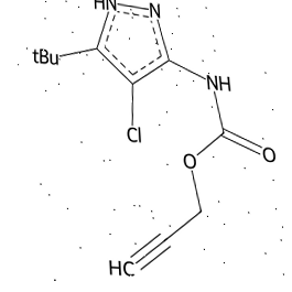 C#CCOC(=O)Nc1n[nH]c(C(C)(C)C)c1Cl